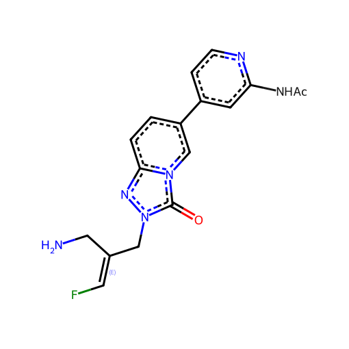 CC(=O)Nc1cc(-c2ccc3nn(C/C(=C/F)CN)c(=O)n3c2)ccn1